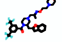 C/C(CN1CCN(C(=O)c2cc(C(F)(F)F)cc(C(F)(F)F)c2)C(Cc2cc3ccccc3o2)C1)=N\OCCN1CCOCC1